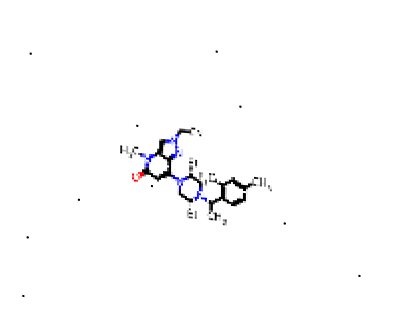 CC[C@H]1CN(C(C)c2ccc(C)cc2C(F)(F)F)[C@H](CC)CN1c1cc(=O)n(C)c2cn(CC#N)nc12